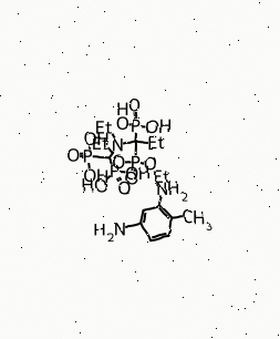 CCOP(=O)(OCC)C(CC)(N(CC)C(P(=O)(O)O)P(=O)(O)O)P(=O)(O)O.Cc1ccc(N)cc1N